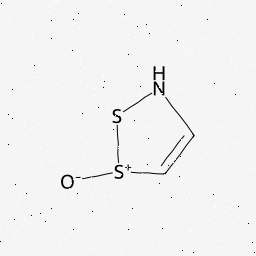 [O-][S+]1C=CNS1